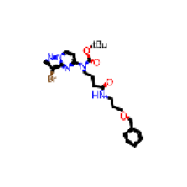 CC(C)(C)OC(=O)N(CCCC(=O)NCCCOCc1ccccc1)c1ccn2ncc(Br)c2n1